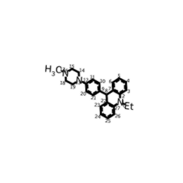 CCN1c2ccccc2C(c2ccc(N3CCN(C)CC3)cc2)c2ccccc21